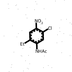 CCc1cc([N+](=O)[O-])c(Cl)cc1NC(C)=O